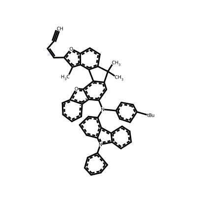 C#C/C=C\c1oc2ccc3c(c2c1C)-c1c(cc(N(c2ccc(C(C)(C)C)cc2)c2cccc4c2c2ccccc2n4-c2ccccc2)c2c1oc1ccccc12)C3(C)C